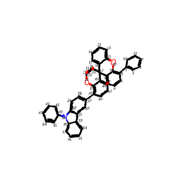 c1ccc(-c2cccc3c2Oc2ccccc2C32c3ccccc3Oc3c(-c4ccc5c(c4)c4ccccc4n5-c4ccccc4)cccc32)cc1